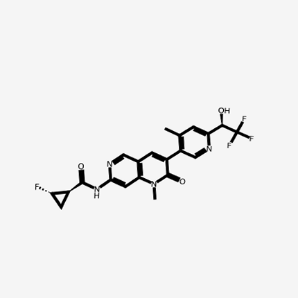 Cc1cc([C@@H](O)C(F)(F)F)ncc1-c1cc2cnc(NC(=O)[C@H]3C[C@@H]3F)cc2n(C)c1=O